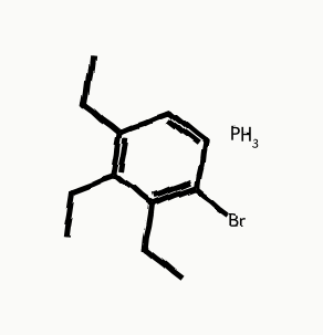 CCc1ccc(Br)c(CC)c1CC.P